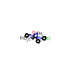 CCOC(=O)c1cc2c(-c3ccccc3Nc3ccc(Cl)cc3)cn(C)c(=O)c2n1Cc1ccccc1